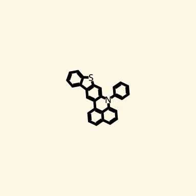 c1ccc(N2c3cc4sc5ccccc5c4cc3-c3cccc4cccc2c34)cc1